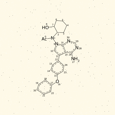 CC(=O)N(C1CCCCC1O)n1cc(-c2ccc(Oc3ccccc3)cc2)c2c(N)ncnc21